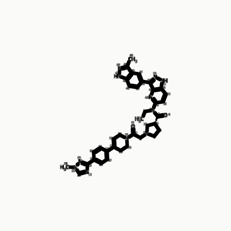 CCN(C(=O)[C@@H]1CCN(CC(=O)N2CC=C(c3ccc(-c4ncn(C)n4)cc3)CC2)C1)c1ccc2[nH]nc(-c3ccc4[nH]nc(C)c4c3)c2n1